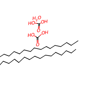 CCCCCCCCCCCCCCCC.CCCCCCCCCCCCCCCC.O.O=C(O)O.O=C(O)O